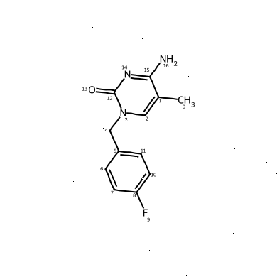 Cc1cn(Cc2ccc(F)cc2)c(=O)nc1N